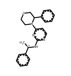 C[C@@H](Nc1nccc(N2CCOCC2c2ccccc2)n1)c1ccccc1